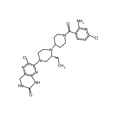 CC[C@H]1CN(c2nc3c(nc2Cl)CNC(=O)N3)CCN1C1CCN(C(=O)c2ccc(Cl)nc2N)CC1